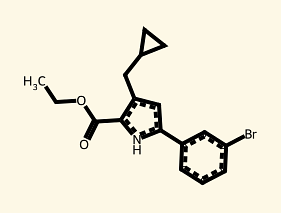 CCOC(=O)c1[nH]c(-c2cccc(Br)c2)cc1CC1CC1